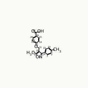 Cc1ccc(-c2noc(C)c2COc2ccc(C(=O)O)cn2)cc1